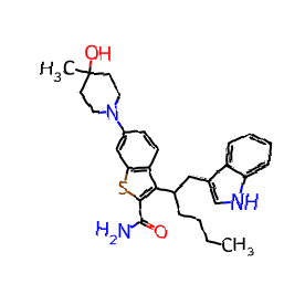 CCCCC(Cc1c[nH]c2ccccc12)c1c(C(N)=O)sc2cc(N3CCC(C)(O)CC3)ccc12